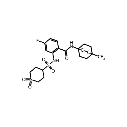 O=C(NC12CCC(C(F)(F)F)(CC1)CC2)c1ccc(F)cc1NS(=O)(=O)C1CCS(=O)(=O)CC1